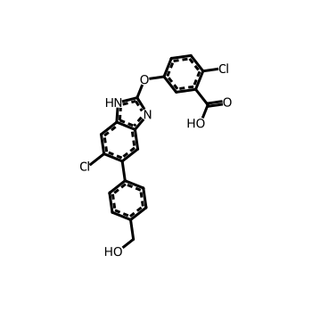 O=C(O)c1cc(Oc2nc3cc(-c4ccc(CO)cc4)c(Cl)cc3[nH]2)ccc1Cl